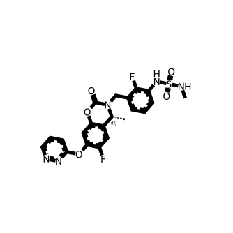 CNS(=O)(=O)Nc1cccc(CN2C(=O)Oc3cc(Oc4cccnn4)c(F)cc3[C@H]2C)c1F